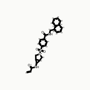 C=CC(=O)NC1C2CN(S(=O)(=O)c3ccc(C(=O)NCc4cccc5ccccc45)cc3)CC21